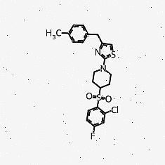 Cc1ccc(Cc2csc(N3CCC(S(=O)(=O)c4ccc(F)cc4Cl)CC3)n2)cc1